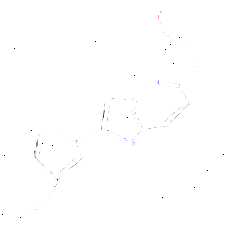 CC[C@@H](CO)NC(=N)/C=C\c1ncc(-c2cccc(OC(F)(F)F)c2)[nH]1